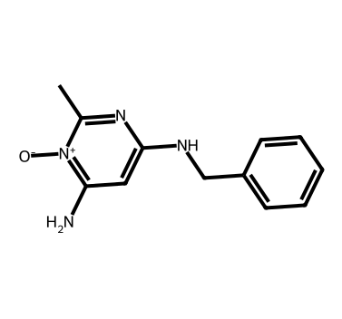 Cc1nc(NCc2ccccc2)cc(N)[n+]1[O-]